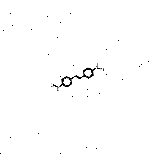 CCNc1ccc(C=Cc2ccc(NCC)cc2)cc1